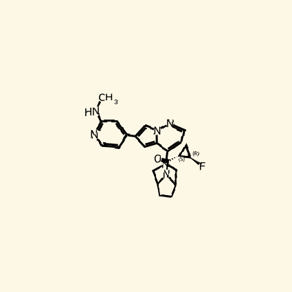 CNc1cc(-c2cc3c(N4CC5CCC(C4)N5C(=O)[C@@H]4C[C@H]4F)ccnn3c2)ccn1